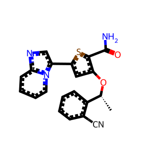 C[C@@H](Oc1cc(-c2cnc3ccccn23)sc1C(N)=O)c1ccccc1C#N